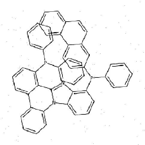 c1ccc(P(c2ccc3c(ccc4ccccc43)c2)c2cccc3c2nc2c4c(P(c5ccccc5)c5ccccc5)cccc4c4ccccc4n32)cc1